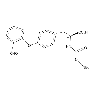 CC(C)(C)OC(=O)N[C@@H](Cc1ccc(Oc2ccccc2C=O)cc1)C(=O)O